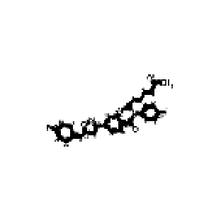 CC(=O)CCCCc1nc2cc(-c3cc(Cc4ccc(F)cc4)on3)ccc2c(=O)n1-c1ccc(F)cc1